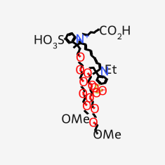 CCN1/C(=C/C=C/C=C/C=C/C2=[N+](CCCCCC(=O)O)c3ccc(S(=O)(=O)O)cc3C2(C)CCOCCOCCOCCOCCOCCOC)C(C)(CCOCCOCCOCCOCCOCCOC)c2cc(S(=O)(=O)[O-])ccc21